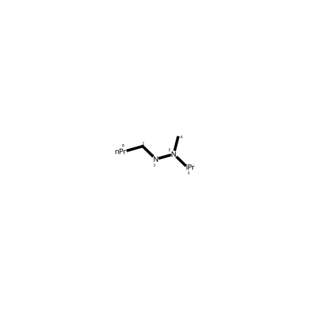 CCCC[N]N(C)C(C)C